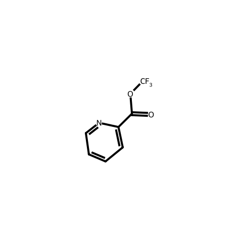 O=C(OC(F)(F)F)c1ccccn1